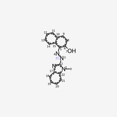 Cn1c(/N=N/c2c(O)ccc3ccccc23)nc2ccccc21